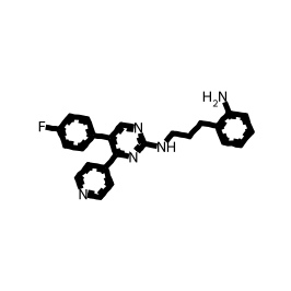 Nc1ccccc1CCCNc1ncc(-c2ccc(F)cc2)c(-c2ccncc2)n1